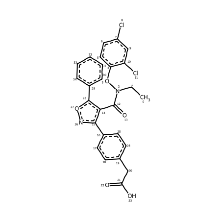 CCN(Oc1ccc(Cl)cc1Cl)C(=O)c1c(-c2ccc(CC(=O)O)cc2)noc1-c1ccccc1